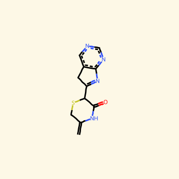 C=C1CSC(C2=Nc3ncncc3C2)C(=O)N1